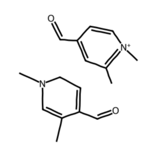 CC1=CN(C)CC=C1C=O.Cc1cc(C=O)cc[n+]1C